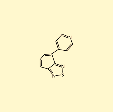 c1cc(-c2ccncc2)c2nsnc2c1